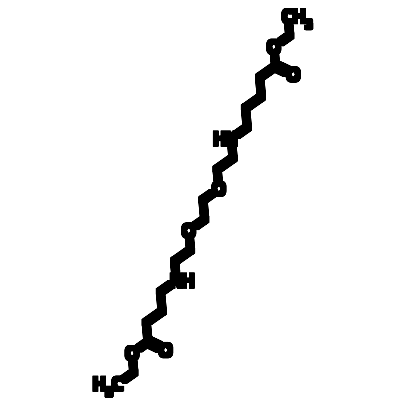 CCOC(=O)CCCCNCCOCCOCCNCCCC(=O)OCC